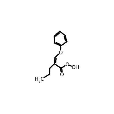 CCCC(=COc1ccccc1)C(=O)OO